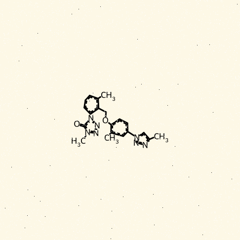 Cc1cn(-c2ccc(OCc3c(C)cccc3-n3nnn(C)c3=O)c(C)c2)nn1